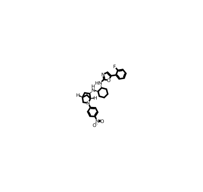 O=[N+]([O-])c1ccc(N2C[C@@H]3C[C@H](N[C@@H]4CCCC[C@H]4Nc4ncc(-c5ccccc5F)o4)[C@H]2C3)cc1